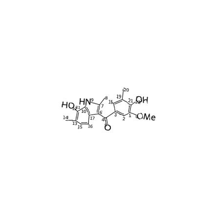 COc1cc(C(=O)c2c(C)[nH]c3c(O)c(C)ccc23)cc(C)c1O